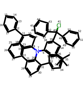 CC(C)(C)c1cc(N(c2ccc(-c3ccccc3)cc2)c2c(-c3ccccc3)cccc2-c2ccccc2)cc(C(Cl)(c2ccccc2)c2ccccc2)c1